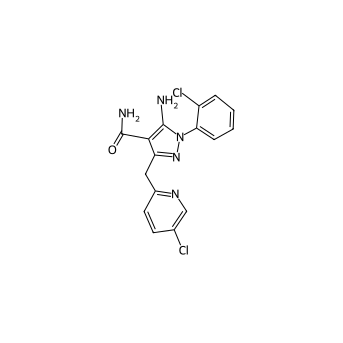 NC(=O)c1c(Cc2ccc(Cl)cn2)nn(-c2ccccc2Cl)c1N